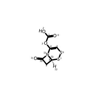 O=C(O)OC1=CSS[C@H]2CC(=O)N12